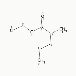 CCCC(C)C(=O)OCCl